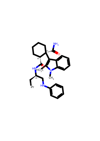 CC(C)C[C@H](CNc1ccccc1)NC(=O)[C@@H]1CCCC[C@@]1(C(N)=O)c1c(C(=O)O)n(C)c2ccccc12